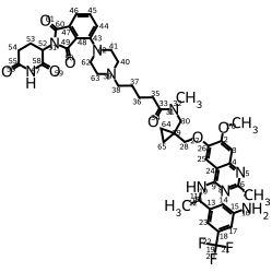 COc1cc2nc(C)nc(N[C@H](C)c3cc(N)cc(C(F)(F)F)c3)c2cc1OCC1(CN(C)C(=O)CCCCN2CCN(c3cccc4c3C(=O)N(C3CCC(=O)NC3=O)C4=O)CC2)CC1